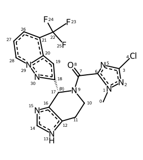 Cn1nc(Cl)nc1C(=O)N1CCc2[nH]cnc2[C@@H]1c1cc2c(C(F)(F)F)cccn2n1